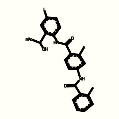 CCCC(O)c1cc(I)ccc1NC(=O)c1ccc(NC(=O)c2ccccc2C)cc1C